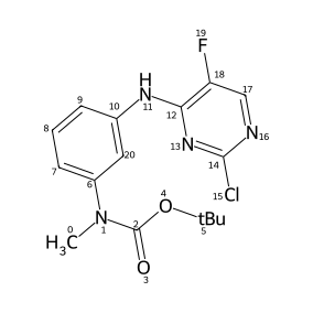 CN(C(=O)OC(C)(C)C)c1cccc(Nc2nc(Cl)ncc2F)c1